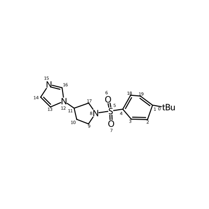 CC(C)(C)c1ccc(S(=O)(=O)N2CCC(n3ccnc3)C2)cc1